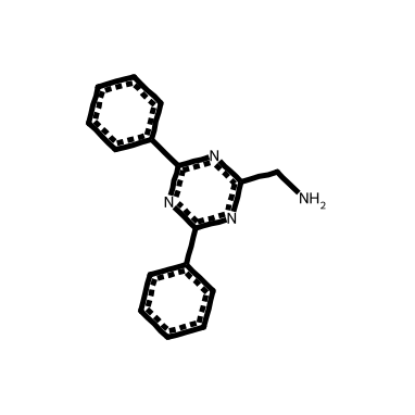 NCc1nc(-c2ccccc2)nc(-c2ccccc2)n1